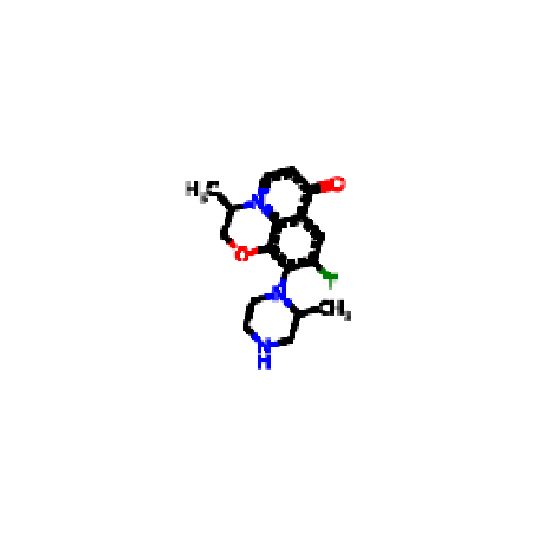 CC1CNCCN1c1c(F)cc2c(=O)ccn3c2c1OCC3C